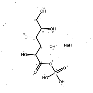 O=C(OP(=O)(O)O)[C@@H](O)[C@@H](O)[C@H](O)[C@H](O)CO.[NaH]